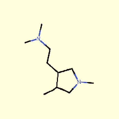 CC1CN(C)CC1CCN(C)C